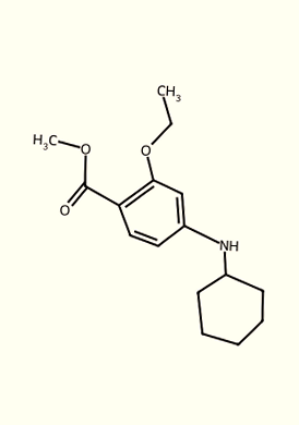 CCOc1cc(NC2CCCCC2)ccc1C(=O)OC